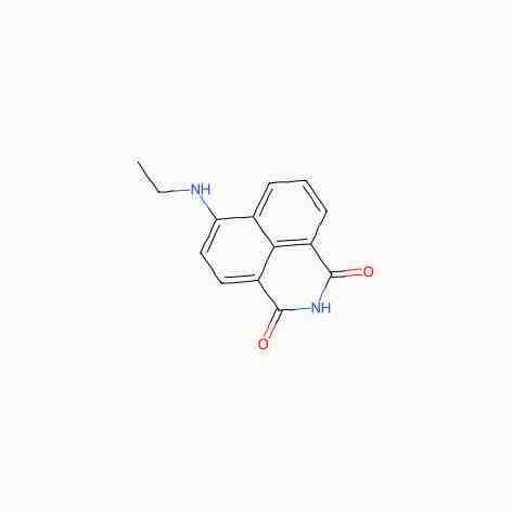 CCNc1ccc2c3c(cccc13)C(=O)NC2=O